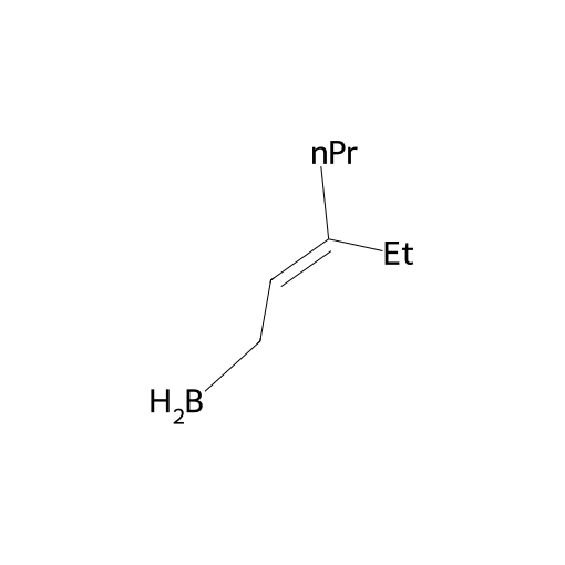 BC/C=C(\CC)CCC